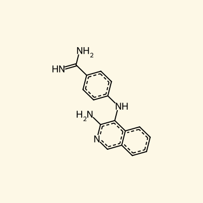 N=C(N)c1ccc(Nc2c(N)ncc3ccccc23)cc1